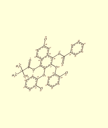 CC(C)(C)C(=O)Oc1c(Oc2ccccc2Cl)c(Oc2ccccc2Cl)c(OC(=O)c2ccccc2)c2cc(Cl)ccc12